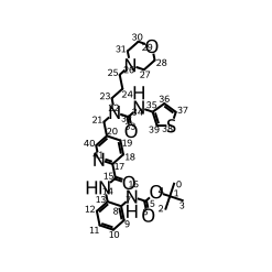 CC(C)(C)OC(=O)Nc1ccccc1NC(=O)c1ccc(CN(CCCN2CCOCC2)C(=O)Nc2ccsc2)cn1